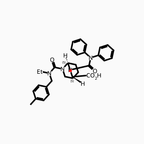 CCN(Cc1ccc(C)cc1)C(=O)N1CC2CC[C@H]1CN(C(=O)N(c1ccccc1)c1ccccc1)[C@@H]2C(=O)O